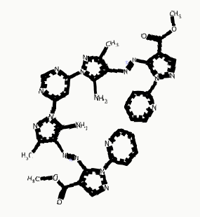 COC(=O)c1cnn(-c2ccccn2)c1/N=N/c1c(C)nn(-c2cc(-n3nc(C)c(/N=N/c4c(C(=O)OC)cnn4-c4ccccn4)c3N)ncn2)c1N